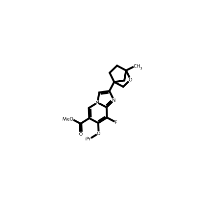 COC(=O)c1cn2cc(C34CCC(C)(C3)OC4)nc2c(F)c1OC(C)C